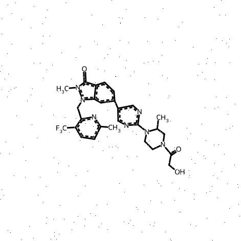 Cc1ccc(C(F)(F)F)c(Cn2c3cc(-c4cnc(N5CCN(C(=O)CO)CC5C)nc4)ccc3c(=O)n2C)n1